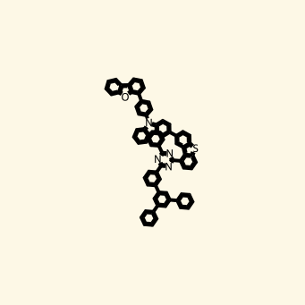 c1ccc(-c2cc(-c3ccccc3)cc(-c3cccc(-c4nc(-c5ccccc5)nc(-c5cccc6sc7ccc(-c8ccc9c(c8)c8ccccc8n9-c8ccc(-c9cccc%10c9oc9ccccc9%10)cc8)cc7c56)n4)c3)c2)cc1